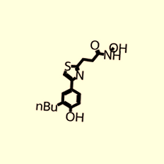 CCCCc1cc(-c2csc(CCC(=O)NO)n2)ccc1O